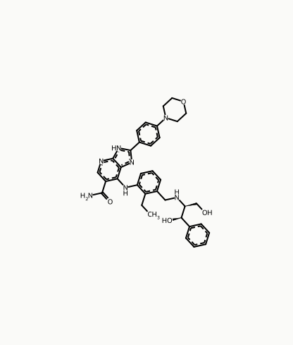 CCc1c(CN[C@@H](CO)[C@H](O)c2ccccc2)cccc1Nc1c(C(N)=O)cnc2[nH]c(-c3ccc(N4CCOCC4)cc3)nc12